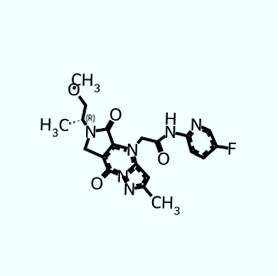 COC[C@@H](C)N1Cc2c(n(CC(=O)Nc3ccc(F)cn3)c3cc(C)nn3c2=O)C1=O